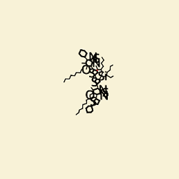 CCCCCCCCOc1c(C)c(-c2ccccc2)c2nsnc2c1-c1cc2c(s1)-c1sc(-c3c(C)c(OCCCCCCCC)c(-c4ccc(-c5ccccc5)s4)c4nsnc34)cc1[Si]2(CC(CC)CCCC)CC(CC)CCCC